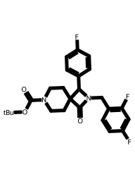 CC(C)(C)OC(=O)N1CCC2(CC1)C(=O)N(Cc1ccc(F)cc1F)C2c1ccc(F)cc1